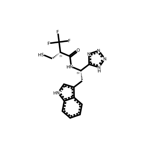 O=C(N[C@@H](Cc1c[nH]c2ccccc12)c1nnn[nH]1)[C@H](CS)C(F)(F)F